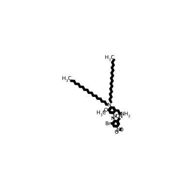 CCCCCCCCCCCCCCCCCCN(CCCCCCCCCCCCCCCCCC)c1cc(CC(N)=O)c(N=Nc2c(Br)cc([N+](=O)[O-])cc2C#N)cc1OC